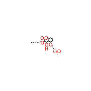 CCCCCCOc1c(O)c2c(OCCCOC(C)=O)cccc2oc1=O